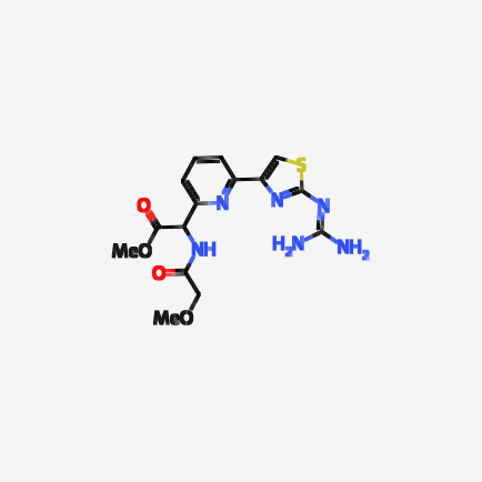 COCC(=O)NC(C(=O)OC)c1cccc(-c2csc(N=C(N)N)n2)n1